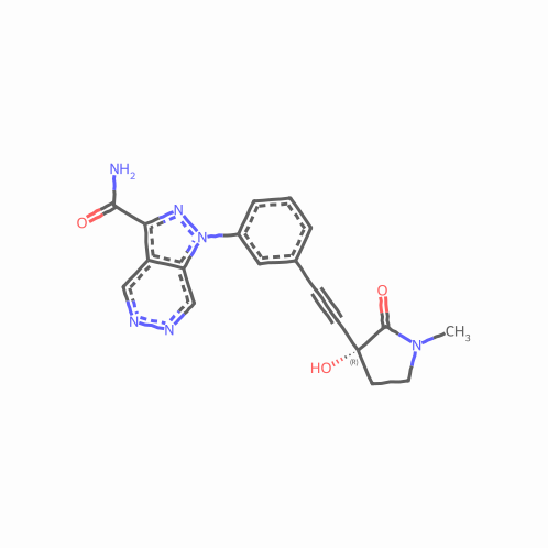 CN1CC[C@@](O)(C#Cc2cccc(-n3nc(C(N)=O)c4cnncc43)c2)C1=O